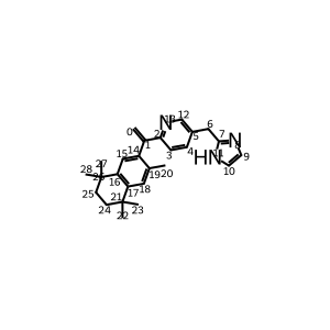 C=C(c1ccc(Cc2ncc[nH]2)cn1)c1cc2c(cc1C)C(C)(C)CCC2(C)C